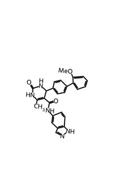 COc1ccccc1-c1ccc(C2NC(=O)NC(C)=C2C(=O)Nc2ccc3[nH]ncc3c2)cc1